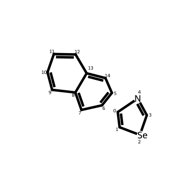 c1c[se]cn1.c1ccc2ccccc2c1